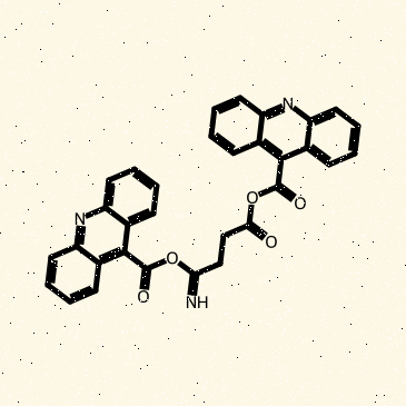 N=C(CCC(=O)OC(=O)c1c2ccccc2nc2ccccc12)OC(=O)c1c2ccccc2nc2ccccc12